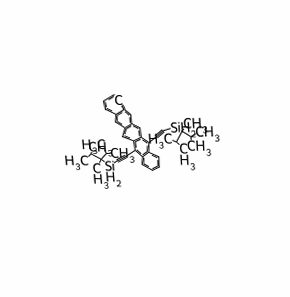 CC(C)C(C)([SiH2]C#Cc1c2ccccc2c(C#C[SiH2]C(C)(C(C)C)C(C)C)c2cc3cc4ccccc4cc3cc12)C(C)C